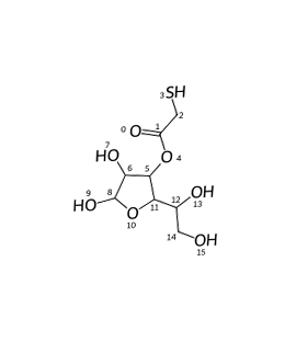 O=C(CS)OC1C(O)C(O)OC1C(O)CO